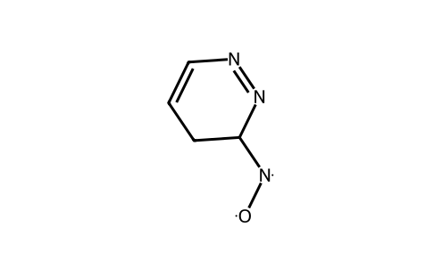 [O][N]C1CC=CN=N1